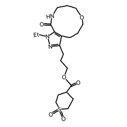 CCn1nc(CCCOC(=O)C2CCS(=O)(=O)CC2)c2c1C(=O)NCCCOCCC2